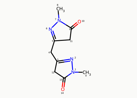 CN1N=C(CC2=NN(C)C(=O)C2)CC1=O